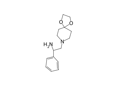 NC(CN1CCC2(CC1)OCCO2)c1ccccc1